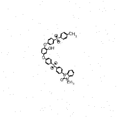 Cc1ccc(S(=O)(=O)c2ccc(Oc3ccc(Oc4ccc(S(=O)(=O)c5ccc(-n6c(=O)n(C)c7ccccc76)cc5)cc4)cc3O)cc2)cc1